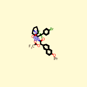 CC(C)Oc1ccc2cc([C@H](OC(=O)C(F)(F)F)C(=O)N[C@@H](C(=O)N3C4CCC3CC(N)C4)C(F)(F)c3ccc(Br)cc3)ccc2c1